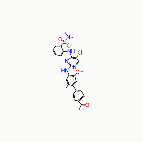 COc1cc(-c2ccc(C(C)=O)cc2)c(C)cc1Nc1ncc(Cl)c(Nc2ccccc2S(=O)(=O)N(C)C)n1